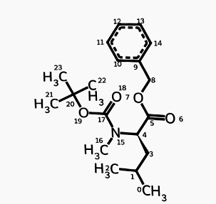 CC(C)C[C@H](C(=O)OCc1ccccc1)N(C)C(=O)OC(C)(C)C